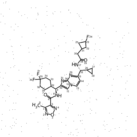 Cc1nonc1C(=O)N[C@H](c1cn2ccc([C@H](NC(=O)CC3CC(F)C3)C3CC3)nc2n1)C1CCC(F)(F)CC1